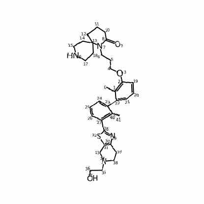 Cc1c(OCCCN2C(=O)CCCC23CCNCC3)cccc1-c1cccc(-c2nc3c(s2)CN(CCO)CC3)c1C